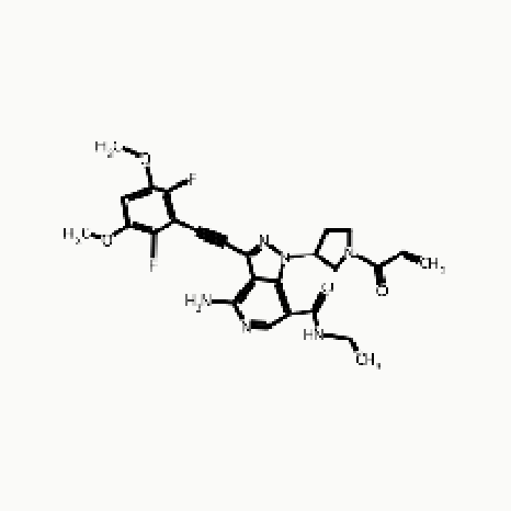 C=CC(=O)N1CC[C@H](n2nc(C#Cc3c(F)c(OC)cc(OC)c3F)c3c(N)ncc(C(=O)NCC)c32)C1